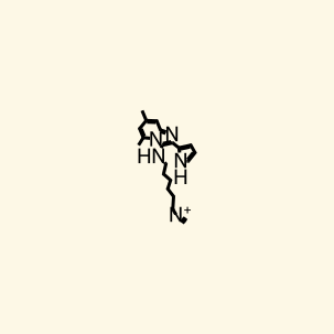 C#[N+]CCCCCCNc1c(-c2ccc[nH]2)nc2cc(C)cc(C)n12